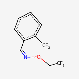 FC(F)(F)CO/N=[C]\c1ccccc1C(F)(F)F